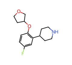 Fc1ccc(OC2CCOC2)c(C2CCNCC2)c1